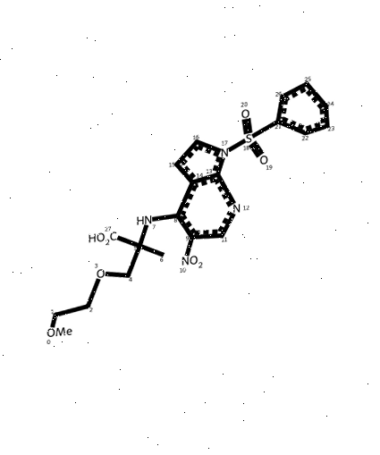 COCCOCC(C)(Nc1c([N+](=O)[O-])cnc2c1ccn2S(=O)(=O)c1ccccc1)C(=O)O